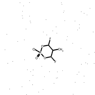 CC1C(F)OP(=O)(Cl)OC1F